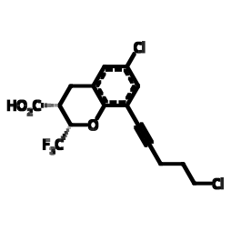 O=C(O)[C@@H]1Cc2cc(Cl)cc(C#CCCCCl)c2O[C@@H]1C(F)(F)F